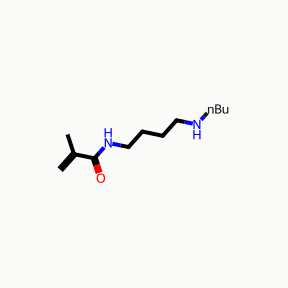 C=C(C)C(=O)NCCCCNCCCC